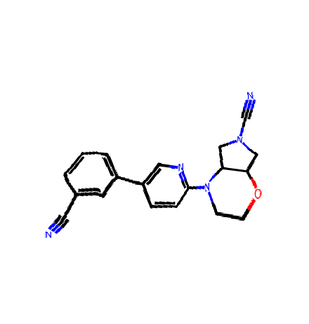 N#Cc1cccc(-c2ccc(N3CCOC4CN(C#N)CC43)nc2)c1